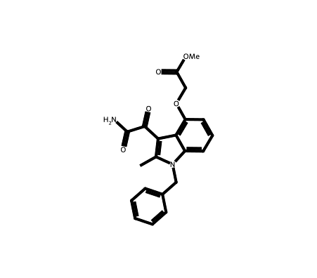 COC(=O)COc1cccc2c1c(C(=O)C(N)=O)c(C)n2Cc1ccccc1